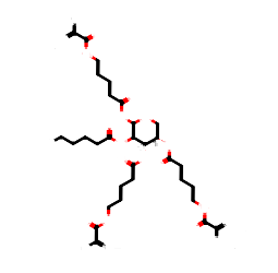 C=C(C)C(=O)OCCCCC(=O)OC1OC[C@@H](OC(=O)CCCCOC(=O)C(=C)C)[C@H](OC(=O)CCCCOC(=O)C(=C)C)C1OC(=O)CCCCC